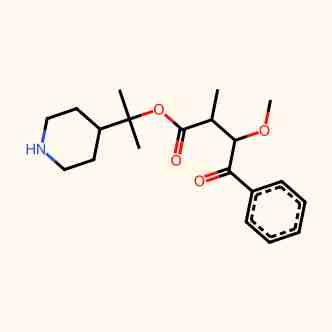 COC(C(=O)c1ccccc1)C(C)C(=O)OC(C)(C)C1CCNCC1